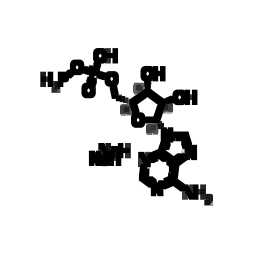 Nc1ncnc2c1ncn2[C@@H]1O[C@H](COP(=O)(O)OP)[C@@H](O)[C@H]1O.[NaH].[NaH]